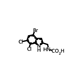 O=C(O)NCc1cc2c(Br)cc(Cl)c(Cl)c2[nH]1